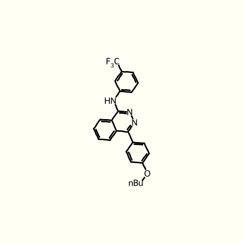 CCCCOc1ccc(-c2nnc(Nc3cccc(C(F)(F)F)c3)c3ccccc23)cc1